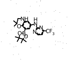 CC1(C)CNc2cc(Nc3nccc(C(F)(F)F)n3)cc(B3OC(C)(C)C(C)(C)O3)c2O1